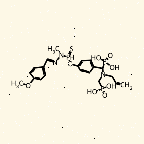 C=CCN(CP(=O)(O)O)C(c1ccc(O[PH](=S)N(C)/N=C/c2ccc(OC)cc2)cc1)P(=O)(O)O